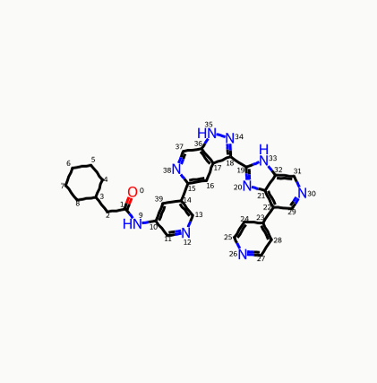 O=C(CC1CCCCC1)Nc1cncc(-c2cc3c(-c4nc5c(-c6ccncc6)cncc5[nH]4)n[nH]c3cn2)c1